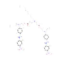 CCCCCCCCN(CCC(=O)OCCN(CC)c1ccc(/N=N/c2ccc([N+](=O)[O-])cc2Cl)cc1)CCC(=O)OCCN(CC)c1ccc(/N=N/c2ccc([N+](=O)[O-])cc2Cl)cc1